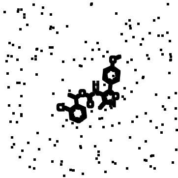 COc1ccc(-c2onc(C)c2NC(=O)OC(C)c2ccccc2Cl)cc1